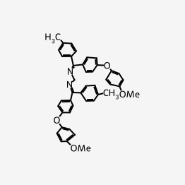 COc1ccc(Oc2ccc(C(=NCN=C(c3ccc(C)cc3)c3ccc(Oc4ccc(OC)cc4)cc3)c3ccc(C)cc3)cc2)cc1